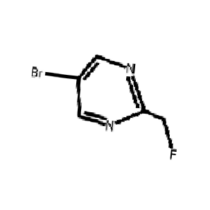 FCc1ncc(Br)cn1